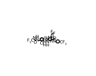 NC(C(=O)NCc1ccc(Cl)c(Nc2nc3nc(OCC(F)F)c(C(=O)N[C@H]4CC[C@H](C(F)(F)F)CC4)cc3[nH]2)c1Cl)C(F)(F)F